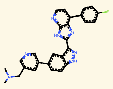 CN(C)Cc1cncc(-c2ccc3[nH]nc(-c4nc5c(-c6ccc(F)cc6)ccnc5[nH]4)c3c2)c1